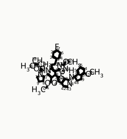 CCOC(=O)C1=C([C@@H]2CCCN2C(=O)OC(C)(C)C)NC(CCc2ccc(F)cc2)=C(c2nc(OC)no2)C1c1cc2ccnc(N[C@@H]3CCc4c(OC)cccc43)c2s1